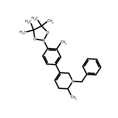 Cc1cc(C2=CCC(C)N(Cc3ccccc3)C2)ccc1B1OC(C)(C)C(C)(C)O1